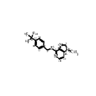 Cn1cnc2c(SCc3ccc(C(F)(F)F)cc3)nccc21